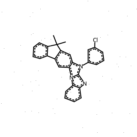 CC1(C)c2ccccc2-c2cc3c(cc21)n(-c1cccc(Cl)c1)c1nc2ccccc2n31